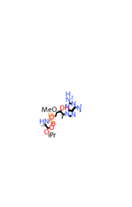 COC(CO[PH](=O)N[C@@H](C)C(=O)OC(C)C)[C@@H](O)[C@H](C)n1cnc2c(N(C)C)nc(N)nc21